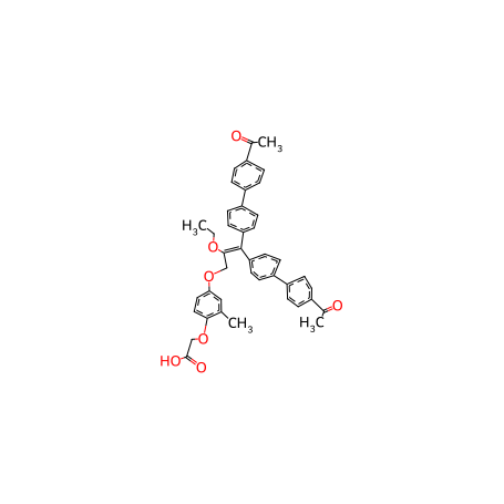 CCOC(COc1ccc(OCC(=O)O)c(C)c1)=C(c1ccc(-c2ccc(C(C)=O)cc2)cc1)c1ccc(-c2ccc(C(C)=O)cc2)cc1